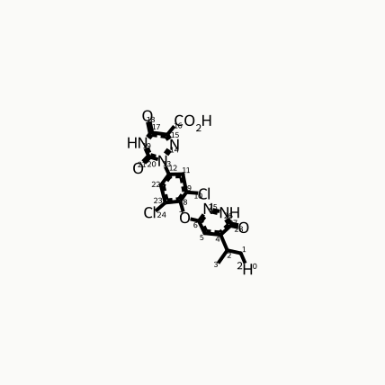 [2H]CC(C)c1cc(Oc2c(Cl)cc(-n3nc(C(=O)O)c(=O)[nH]c3=O)cc2Cl)n[nH]c1=O